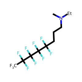 CCN(C)CCCC(F)(F)C(F)(F)C(F)(F)C(F)(F)C(F)(F)F